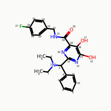 CCN(CC)C(c1ccccc1)c1nc(O)c(O)c(C(=O)NCc2ccc(F)cc2)n1